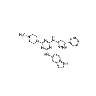 CN1CCN(c2nc(Nc3ccc4[nH]ccc4c3)nc(Nc3cc(-c4ccccc4)[nH]n3)n2)CC1